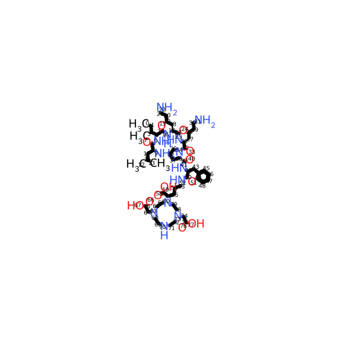 CC[C@H](C)[C@H](NC(=O)[C@@H](N)CC(C)C)C(=O)N[C@@H](CCCCN)C(=O)N[C@@H](CCCCN)C(=O)N1CCC[C@H]1C(=O)NC(Cc1ccccc1)C(=O)NCCCC(C(=O)O)N1CCN(CC(=O)O)CCNCCN(CC(=O)O)CC1